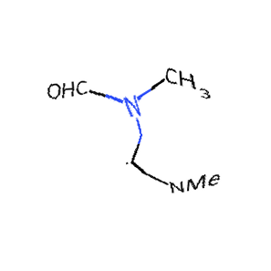 CN[CH]N(C)C=O